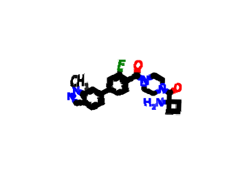 Cn1ncc2ccc(-c3ccc(C(=O)N4CCN(C(=O)C5(N)CCC5)CC4)c(F)c3)cc21